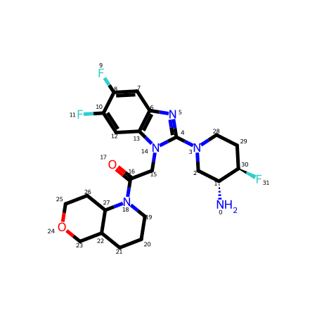 N[C@@H]1CN(c2nc3cc(F)c(F)cc3n2CC(=O)N2CCCC3COCCC32)CC[C@H]1F